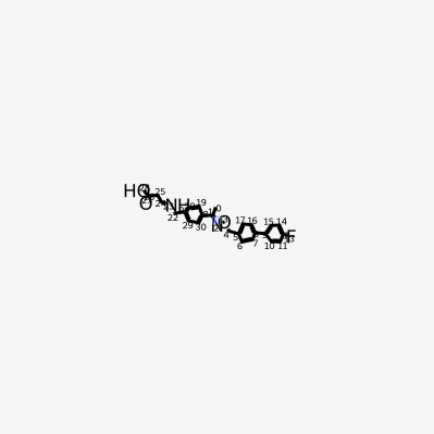 C/C(=N\OCc1ccc(-c2ccc(F)cc2)cc1)c1ccc(CNCCC(=O)O)cc1